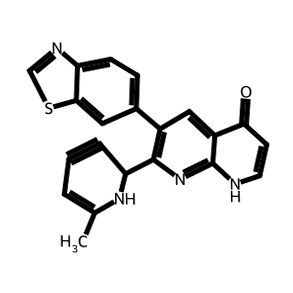 CC1=CC#CC(c2nc3[nH]ccc(=O)c3cc2-c2ccc3ncsc3c2)N1